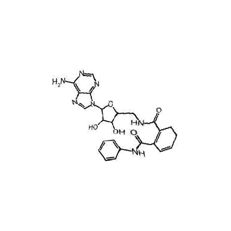 Nc1ncnc2c1ncn2C1OC(CNC(=O)C2=C(C(=O)Nc3ccccc3)C=CCC2)C(O)C1O